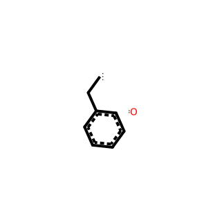 [C]Cc1ccccc1.[O]